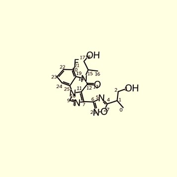 CC(CO)c1nc(-c2ncn3c2c(=O)n(C(C)CO)c2c(F)cccc23)no1